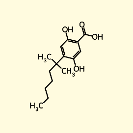 CCCCCC(C)(C)c1cc(O)c(C(=O)O)cc1O